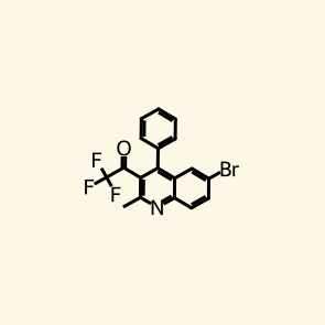 Cc1nc2ccc(Br)cc2c(-c2ccccc2)c1C(=O)C(F)(F)F